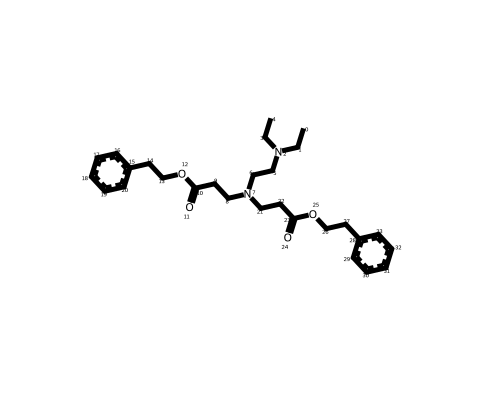 CCN(CC)CCN(CCC(=O)OCCc1ccccc1)CCC(=O)OCCc1ccccc1